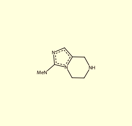 CNc1ncc2n1CCNC2